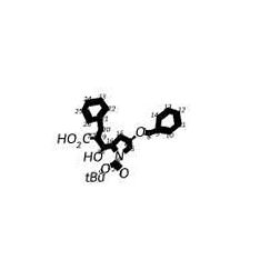 CC(C)(C)OC(=O)N1C[C@H](OCc2ccccc2)CC1[C@@H](O)[C@H](Cc1ccccc1)C(=O)O